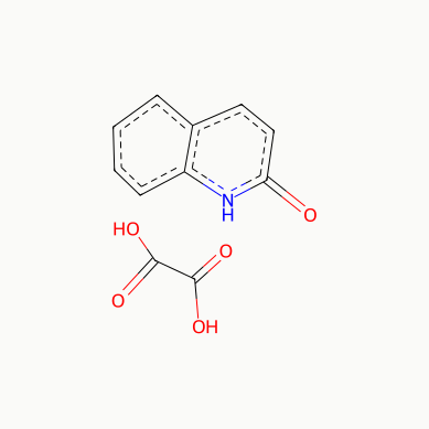 O=C(O)C(=O)O.O=c1ccc2ccccc2[nH]1